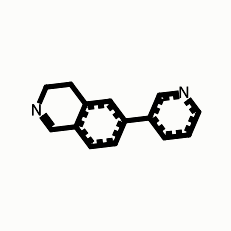 C1=NCCc2cc(-c3cccnc3)ccc21